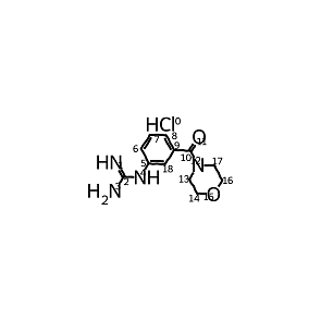 Cl.N=C(N)Nc1cccc(C(=O)N2CCOCC2)c1